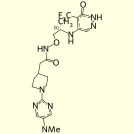 CNc1cnc(N2CCC(CC(=O)NOC[C@H](C)Nc3cn[nH]c(=O)c3C(F)(F)F)CC2)nc1